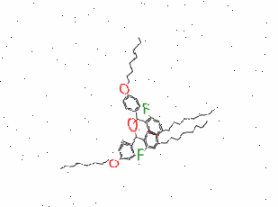 CCCCCCCCOc1ccc(C(OC(c2ccc(OCCCCCCCC)cc2)c2ccc(CCCCCCCC)cc2F)c2ccc(CCCCCCCC)cc2F)cc1